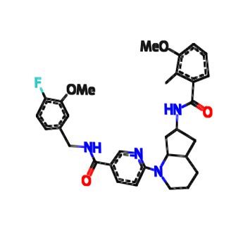 COc1cc(CNC(=O)c2ccc(N3CCCC4CC(NC(=O)c5cccc(OC)c5C)CC43)nc2)ccc1F